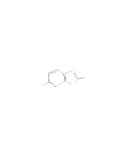 CSc1nc2ccc(C(C)(C)C)cc2[nH]1